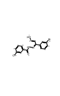 O=C(NN=C(C=NO)c1cccc(Br)c1)c1cccc(Cl)c1